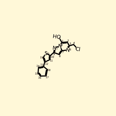 Oc1cc(CCl)nc2cc(-c3cc(-c4ccccc4)cs3)nn12